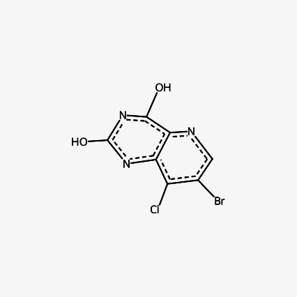 Oc1nc(O)c2ncc(Br)c(Cl)c2n1